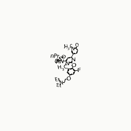 CCCS(=O)(=O)Nc1cc(-c2ccc(=O)n(C)c2)nc(Oc2c(C)cc(OCCN(CC)CC)cc2F)n1